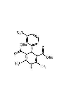 CC1=C(C(=O)OCC(C)C)C(c2cccc([N+](=O)[O-])c2)C(C(=O)OCC(C)C)=C(C)N1